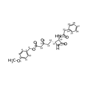 COc1ccc(COC(=O)CC(=O)CC[C@H]2NC(=O)[C@@H]2NC(=O)Cc2ccccc2)cc1